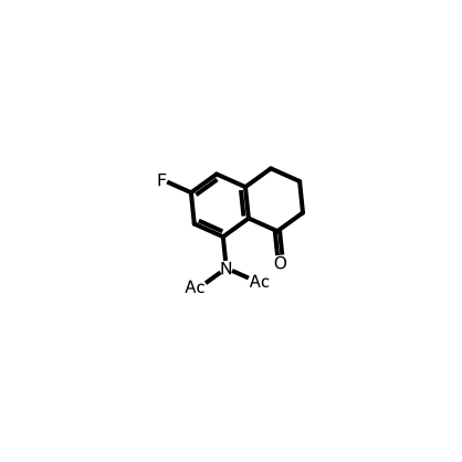 CC(=O)N(C(C)=O)c1cc(F)cc2c1C(=O)CCC2